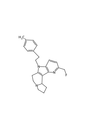 Cc1ccc(CCn2c3c(c4nc(CF)ccc42)C2CCCN2CC3)cc1